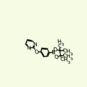 CC1(C)OB(c2ccc(Oc3ncccn3)cc2)OC1(C)C